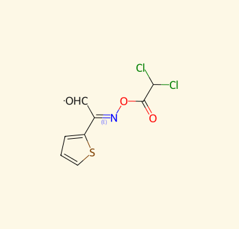 O=[C]/C(=N\OC(=O)C(Cl)Cl)c1cccs1